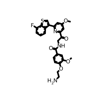 COc1cc(C(=O)CNC(=O)c2ccc(OCCN)c(OC)c2)nc(-c2csc3c(F)cccc23)c1